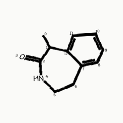 CC1C(=O)NCCc2ccccc21